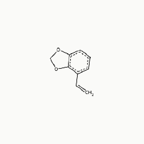 C=Cc1cccc2c1OCO2